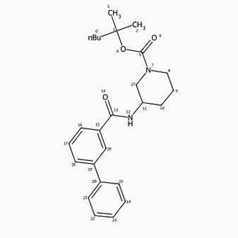 CCCCC(C)(C)OC(=O)N1CCCC(NC(=O)c2cccc(-c3ccccc3)c2)C1